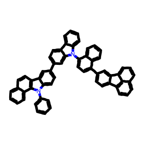 c1ccc(-n2c3ccc(-c4ccc5c6ccccc6n(-c6ccc(-c7ccc8c(c7)-c7cccc9cccc-8c79)c7ccccc67)c5c4)cc3c3ccc4ccccc4c32)cc1